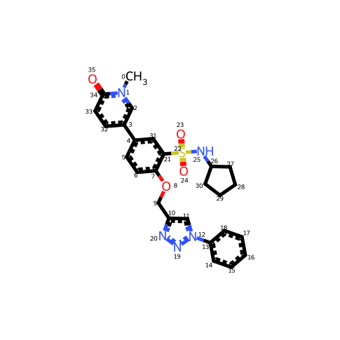 Cn1cc(-c2ccc(OCc3cn(-c4ccccc4)nn3)c(S(=O)(=O)NC3CCCC3)c2)ccc1=O